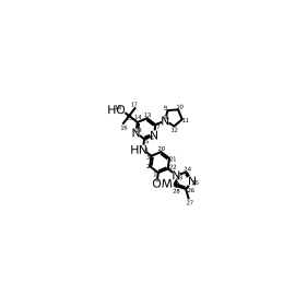 COc1cc(Nc2nc(N3CCCC3)cc(C(C)(C)O)n2)ccc1-n1cnc(C)c1